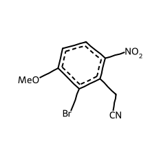 COc1ccc([N+](=O)[O-])c(CC#N)c1Br